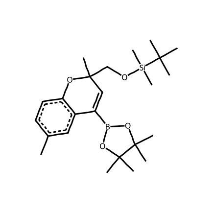 Cc1ccc2c(c1)C(B1OC(C)(C)C(C)(C)O1)=CC(C)(CO[Si](C)(C)C(C)(C)C)O2